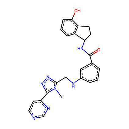 Cn1c(CNc2cccc(C(=O)NC3CCc4c(O)cccc43)c2)nnc1-c1ccncn1